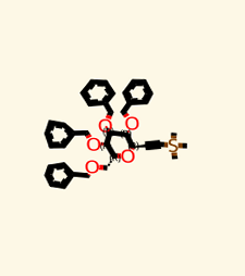 CS(C)(C)C#C[C@H]1O[C@H](COCc2ccccc2)[C@@H](OCc2ccccc2)[C@H](OCc2ccccc2)[C@@H]1OCc1ccccc1